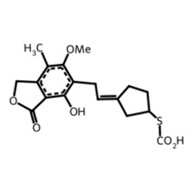 COc1c(C)c2c(c(O)c1CC=C1CCC(SC(=O)O)C1)C(=O)OC2